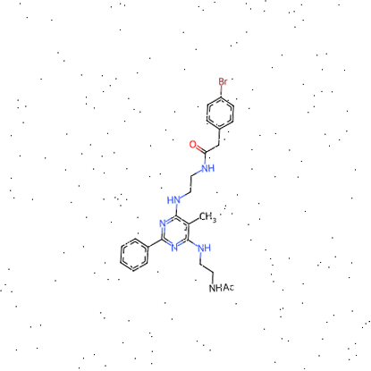 CC(=O)NCCNc1nc(-c2ccccc2)nc(NCCNC(=O)Cc2ccc(Br)cc2)c1C